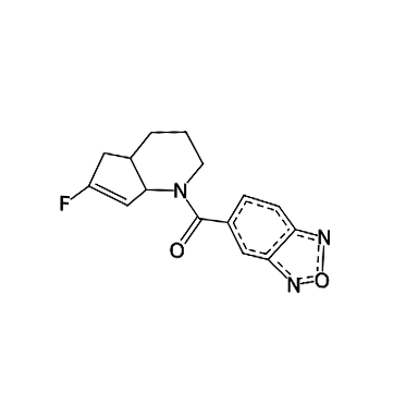 O=C(c1ccc2nonc2c1)N1CCCC2CC(F)=CC21